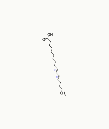 CCCC/C=C/C=C/CCCCCCCCC(=O)O